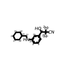 [2H]C([2H])(C#N)C(O)c1cccc(NCC2CCCCC2)c1